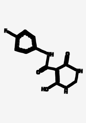 O=C1NCNC(O)=C1C(=O)Nc1ccc(F)cc1